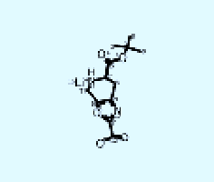 CC(C)(C)OC(=O)C1Cc2nc(C(=O)[O-])oc2CN1.[Li+]